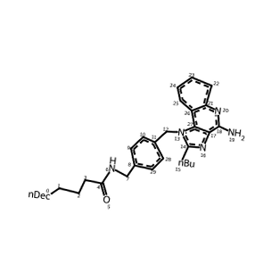 CCCCCCCCCCCCCC(=O)NCc1ccc(Cn2c(CCCC)nc3c(N)nc4ccccc4c32)cc1